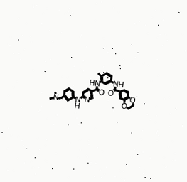 Cc1ccc(NC(=O)c2ccc3c(c2)OCCO3)cc1NC(=O)c1ccc(Nc2cccc(CN(C)C)c2)nc1